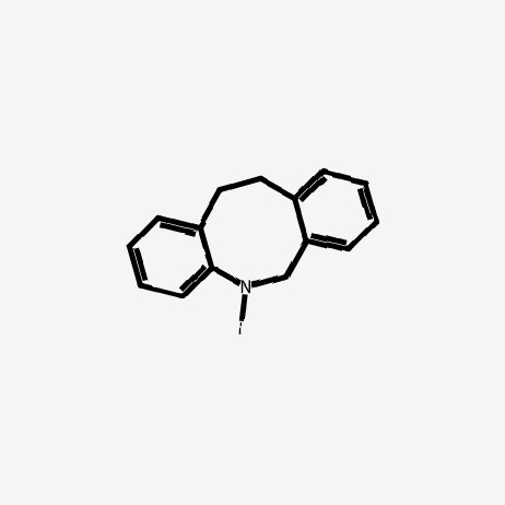 IN1Cc2ccccc2CCc2ccccc21